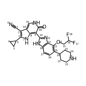 N#Cc1c(C2CC2)[nH]c2c(-c3nc4c(OCC(F)F)c(C5CCNCC5)ccc4[nH]3)c(=O)[nH]cc12